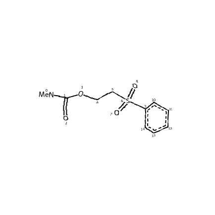 CNC(=O)OCCS(=O)(=O)c1ccccc1